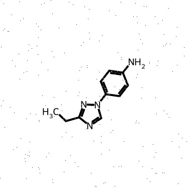 CCc1ncn(-c2ccc(N)cc2)n1